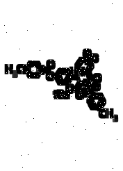 Cc1ccc(S(=O)(=O)N(C(=O)C2CS(=O)(=O)CCN2)[C@@H](Cc2ccc(OC(=O)N3CCN(C)CC3)cc2)C(=O)OC(C)(C)C)cc1